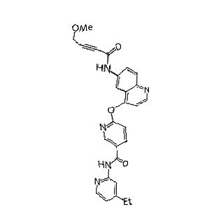 CCc1ccnc(NC(=O)c2ccc(Oc3ccnc4ccc(NC(=O)C#CCOC)cc34)nc2)c1